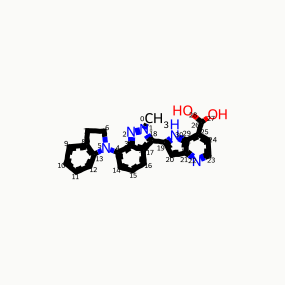 Cn1nc2c(N3CCc4ccccc43)cccc2c1-c1cc2nccc(C(O)O)c2[nH]1